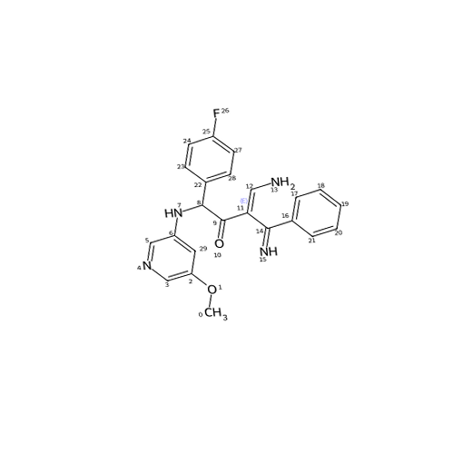 COc1cncc(NC(C(=O)/C(=C/N)C(=N)c2ccccc2)c2ccc(F)cc2)c1